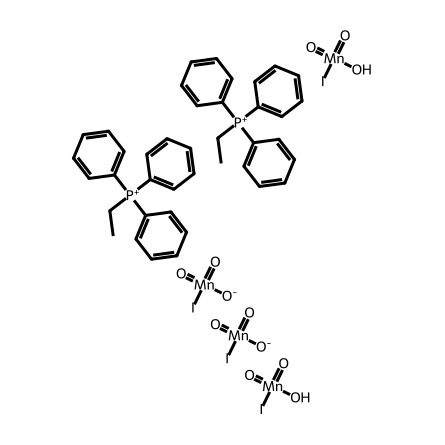 CC[P+](c1ccccc1)(c1ccccc1)c1ccccc1.CC[P+](c1ccccc1)(c1ccccc1)c1ccccc1.[O]=[Mn](=[O])([O-])[I].[O]=[Mn](=[O])([O-])[I].[O]=[Mn](=[O])([OH])[I].[O]=[Mn](=[O])([OH])[I]